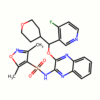 Cc1noc(C)c1S(=O)(=O)Nc1nc2ccccc2nc1OC(c1cnccc1F)C1CCOCC1